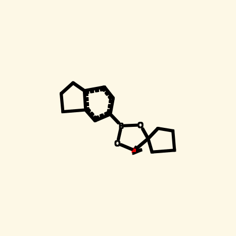 c1cc2c(cc1B1OC3(CCCC3)C3(CCCC3)O1)CCC2